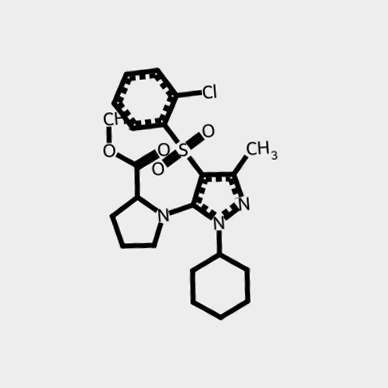 COC(=O)C1CCCN1c1c(S(=O)(=O)c2ccccc2Cl)c(C)nn1C1CCCCC1